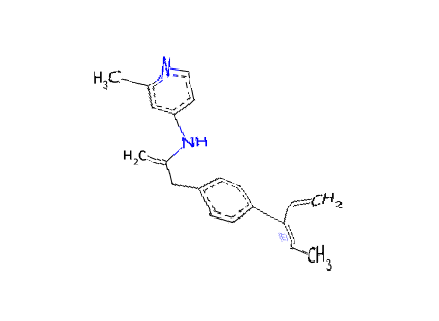 C=C/C(=C\C)c1ccc(CC(=C)Nc2ccnc(C)c2)cc1